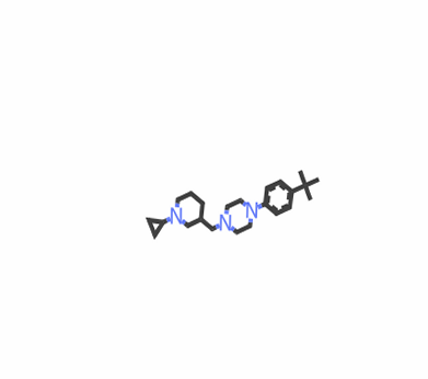 CC(C)(C)c1ccc(N2CCN(CC3CCCN(C4CC4)C3)CC2)cc1